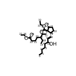 CCCCCC(O)C=C[C@H]1CCC(=O)[C@]1(CCC(CC)CCCC(=O)OCC)C(=O)OCC